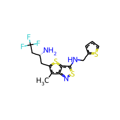 Cc1c(C[C@@H](N)CC(F)(F)F)sc2c(NCc3cccs3)snc12